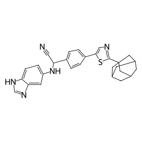 N#CC(Nc1ccc2[nH]cnc2c1)c1ccc(-c2cnc(C34CC5CC(CC(C5)C3)C4)s2)cc1